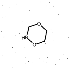 B1COCCO1